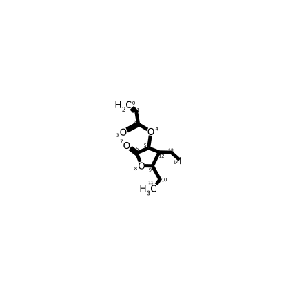 C=CC(=O)OC1C(=O)OC(CC)C1CI